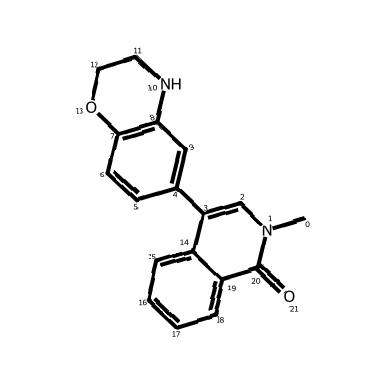 Cn1cc(-c2ccc3c(c2)NCCO3)c2ccccc2c1=O